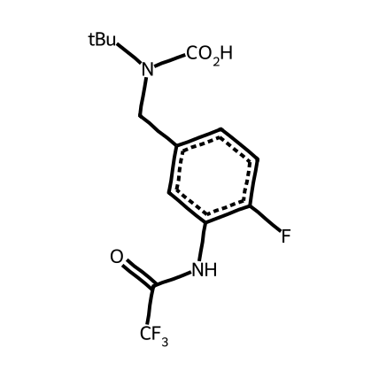 CC(C)(C)N(Cc1ccc(F)c(NC(=O)C(F)(F)F)c1)C(=O)O